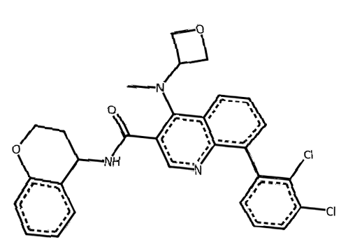 CN(c1c(C(=O)NC2CCOc3ccccc32)cnc2c(-c3cccc(Cl)c3Cl)cccc12)C1COC1